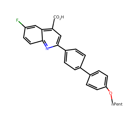 CCCCCOc1ccc(-c2ccc(-c3cc(C(=O)O)c4cc(F)ccc4n3)cc2)cc1